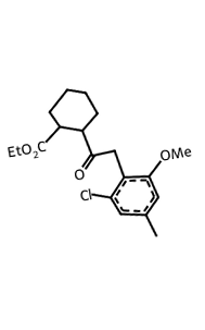 CCOC(=O)C1CCCCC1C(=O)Cc1c(Cl)cc(C)cc1OC